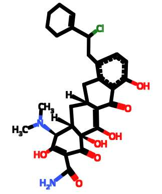 CN(C)[C@@H]1C(O)=C(C(N)=O)C(=O)[C@@]2(O)C(O)=C3C(=O)c4c(O)ccc(CC(Cl)C5=CCCCC5)c4C[C@H]3C[C@@H]12